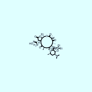 CC[C@@H]1OC(=O)[C@@](C)(F)C(=O)[C@H](C)[C@@H](OC2O[C@H](C)C[C@H](N(C)C)[C@H]2O[Si](CC)(CC)CC)[C@](C)(OC)C[C@@H](C)C(=O)[C@H](C)[C@H]2[C@H](/C(N)=N/O)C(=O)O[C@]21C